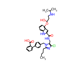 CCCCc1nc(Cl)c(CNC(=O)c2cc3c(OC(O)CCNC(C)C)cccc3[nH]2)n1Cc1ccc(-c2ccccc2C(=O)O)cc1